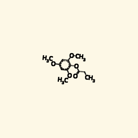 CCC(=O)Oc1c(OC)cc(OC)cc1OC